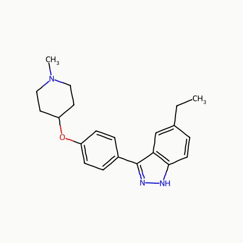 CCc1ccc2[nH]nc(-c3ccc(OC4CCN(C)CC4)cc3)c2c1